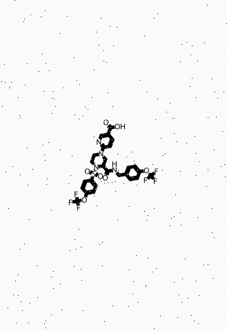 O=C(O)c1ccc(N2CCN(S(=O)(=O)c3ccc(OC(F)(F)F)cc3)C(C(=O)NCc3ccc(OC(F)(F)F)cc3)C2)nc1